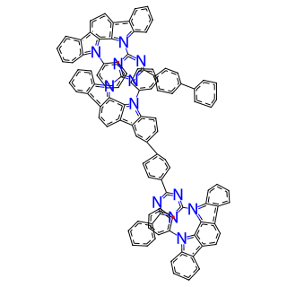 c1ccc(-c2ccc(-c3nc(-n4c5ccccc5c5ccc6c7ccccc7n(-c7ccccc7)c6c54)nc(-n4c5ccccc5c5ccc6c7cc(-c8ccc(-c9nc(-c%10ccccc%10)nc(-n%10c%11ccccc%11c%11ccc%12c%13ccccc%13n(-c%13ccccc%13)c%12c%11%10)n9)cc8)ccc7n(-c7ccccc7)c6c54)n3)cc2)cc1